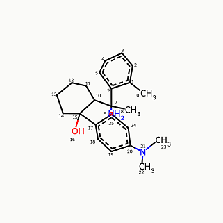 Cc1ccccc1C(C)(N)C1CCCCC1(O)c1ccc(N(C)C)cc1